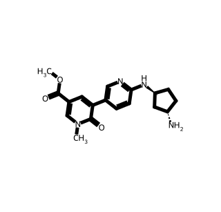 COC(=O)c1cc(-c2ccc(N[C@H]3CC[C@H](N)C3)nc2)c(=O)n(C)c1